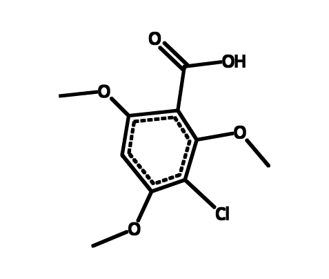 COc1cc(OC)c(C(=O)O)c(OC)c1Cl